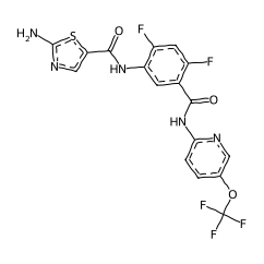 Nc1ncc(C(=O)Nc2cc(C(=O)Nc3ccc(OC(F)(F)F)cn3)c(F)cc2F)s1